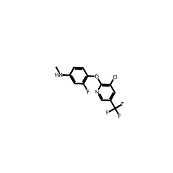 CNc1ccc(Oc2ncc(C(F)(F)F)cc2Cl)c(F)c1